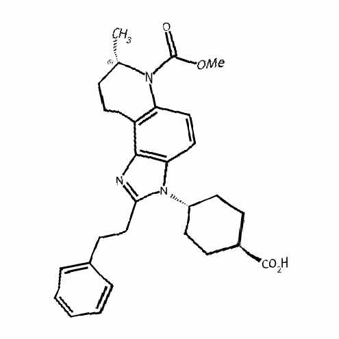 COC(=O)N1c2ccc3c(nc(CCc4ccccc4)n3[C@H]3CC[C@H](C(=O)O)CC3)c2CC[C@@H]1C